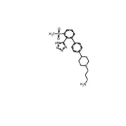 CS(=O)(=O)c1cccc(-c2ccc(C3CCN(CCCN)CC3)cc2)c1-c1nnn[nH]1